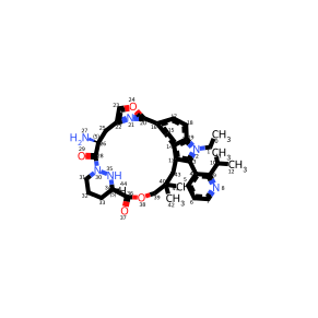 CCn1c(-c2cccnc2C(C)C)c2c3cc(ccc31)-c1nc(co1)C[C@H](N)C(=O)N1CCC[C@H](N1)C(=O)OCC(C)(C)C2